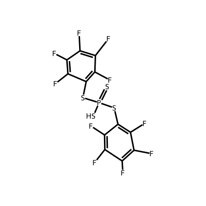 Fc1c(F)c(F)c(SP(=S)(S)Sc2c(F)c(F)c(F)c(F)c2F)c(F)c1F